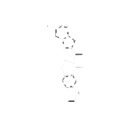 CC(=O)Nc1ccc2c(c1)N(C)N(C(=O)c1cc3ncc(Br)cn3n1)CC2